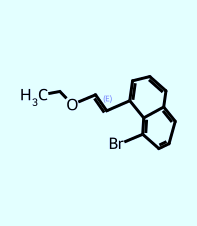 CCO/C=C/c1cccc2cccc(Br)c12